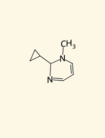 CN1C=CC=NC1C1CC1